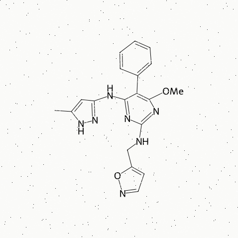 COc1nc(NCc2ccno2)nc(Nc2cc(C)[nH]n2)c1-c1ccccc1